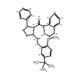 COc1ccc(C(C)(C)C)cc1CNC1CCC(c2ccccc2)N1C(=O)C1OCCc2ccccc21